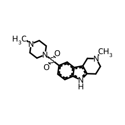 CN1CCN(S(=O)(=O)c2ccc3[nH]c4c(c3c2)CN(C)CC4)CC1